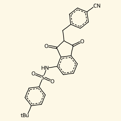 CC(C)(C)c1ccc(S(=O)(=O)Nc2cccc3c2C(=O)C(Cc2ccc(C#N)cc2)C3=O)cc1